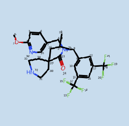 COc1ccc(CN(Cc2cc(C(F)(F)F)cc(C(F)(F)F)c2)C(=O)C2(CC(C)C)CCNCC2)cn1